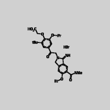 Br.CCOc1cc2c(cc1C(=O)NC)C(=N)N(CC(=O)c1cc(OC(C)C)c(OCC(=O)O)c(C(C)(C)C)c1)C2